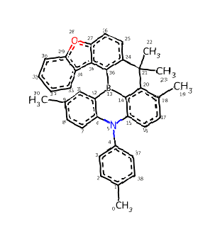 Cc1ccc(N2c3ccc(C)cc3B3c4c2ccc(C)c4C(C)(C)c2ccc4oc5ccccc5c4c23)cc1